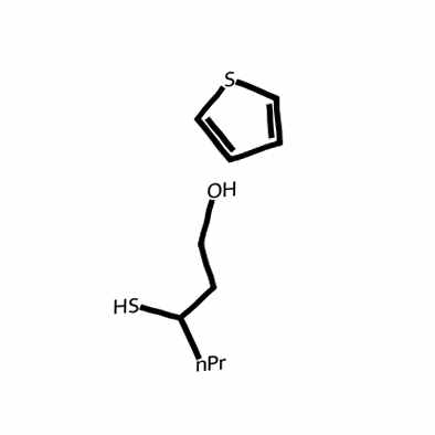 CCCC(S)CCO.c1ccsc1